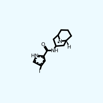 CN1C2CCC[C@@H]1CC(NC(=O)c1cc(I)c[nH]1)C2